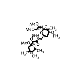 C=C1C[C@](OC)([C@H](OP)C(=O)NC[C@@H]2C[C@@H](OP)C(C)(C)[C@@H](C[C@@H](COC)OC)O2)O[C@H](C)[C@@H]1C